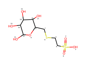 O=S(=O)(O)CCSCC1OC(O)C(O)C(O)C1O